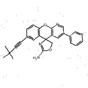 CC(C)(C)C#Cc1ccc2c(c1)C1(COC(N)=N1)c1cc(-c3cccnc3)cnc1O2